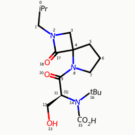 CC(C)CN1CC2(CCCN2C(=O)[C@H](CO)N(C(=O)O)C(C)(C)C)C1=O